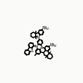 Cc1cc2c3c(c1)N(c1cccc4c1sc1ccccc14)c1cc(N4c5ccc(C(C)(C)C)cc5C5(C)CCCCC45C)ccc1B3c1cc(C(C)(C)C)cc3c1C2CC1(C)CCCCC31C